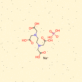 O=C(O)CN(CCN(CC(=O)O)CC(=O)O)CC(=O)O.O=P([O-])(O)O.[Na+]